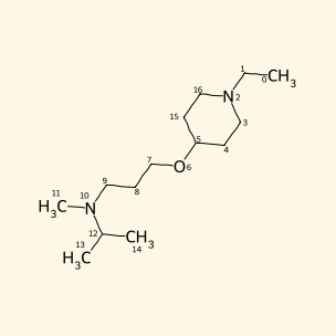 CCN1CCC(OCCCN(C)C(C)C)CC1